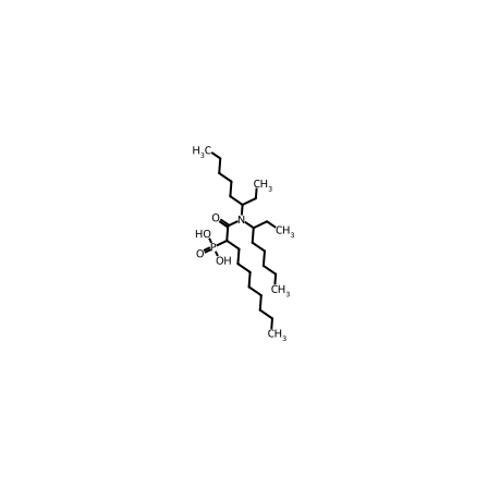 CCCCCCCCC(C(=O)N(C(CC)CCCCC)C(CC)CCCCC)P(=O)(O)O